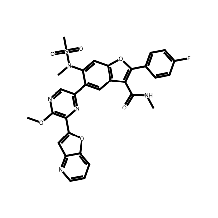 CNC(=O)c1c(-c2ccc(F)cc2)oc2cc(N(C)S(C)(=O)=O)c(-c3cnc(OC)c(-c4cc5ncccc5o4)n3)cc12